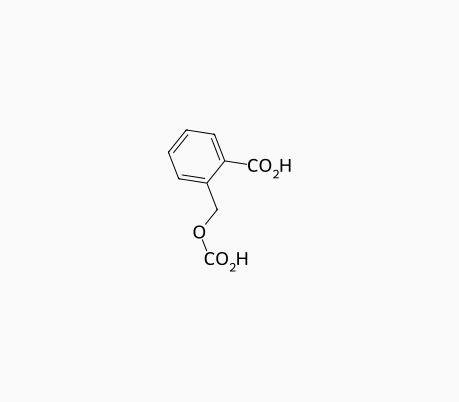 O=C(O)OCc1ccccc1C(=O)O